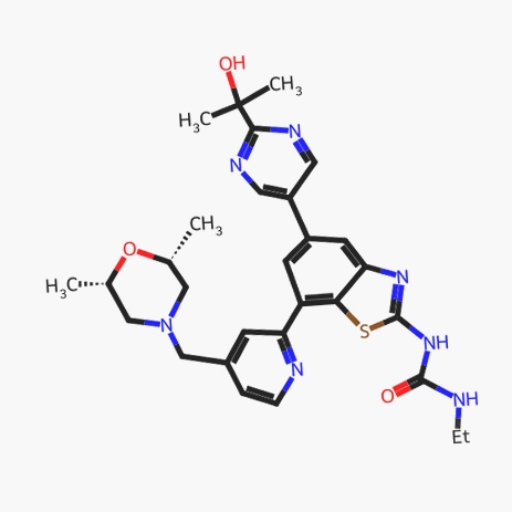 CCNC(=O)Nc1nc2cc(-c3cnc(C(C)(C)O)nc3)cc(-c3cc(CN4C[C@@H](C)O[C@@H](C)C4)ccn3)c2s1